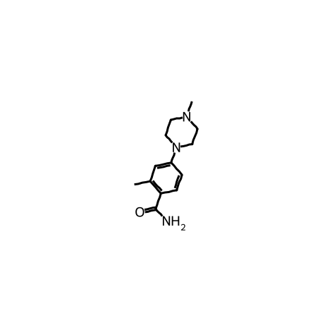 Cc1cc(N2CCN(C)CC2)ccc1C(N)=O